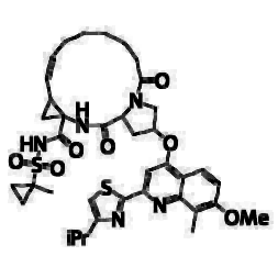 COc1ccc2c(OC3CC4C(=O)NC5(C(=O)NS(=O)(=O)C6(C)CC6)CC5C=CCCCCCC(=O)N4C3)cc(-c3nc(C(C)C)cs3)nc2c1C